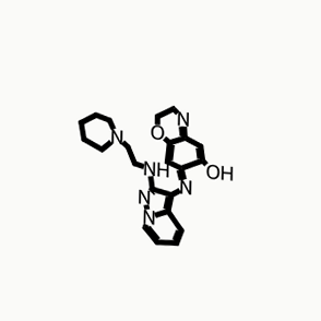 OC1=CC2=NCCOC2=C/C1=N\c1c(NCCN2CCCCC2)nn2ccccc12